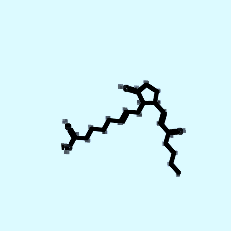 CCCCC(=O)/C=C/C1CCC(=O)C1C/C=C/CCCCC(=O)O